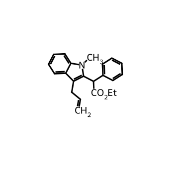 C=CCc1c(C(C(=O)OCC)c2ccccc2)n(C)c2ccccc12